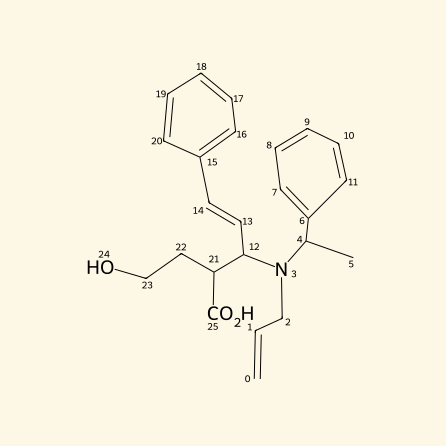 C=CCN(C(C)c1ccccc1)C(C=Cc1ccccc1)C(CCO)C(=O)O